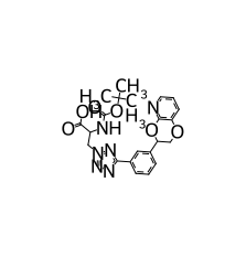 CC(C)(C)OC(=O)NC(Cn1nnc(-c2cccc(C3COc4cccnc4O3)c2)n1)C(=O)O